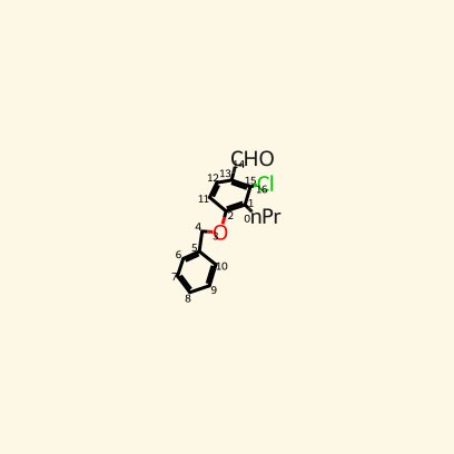 CCCc1c(OCc2ccccc2)ccc(C=O)c1Cl